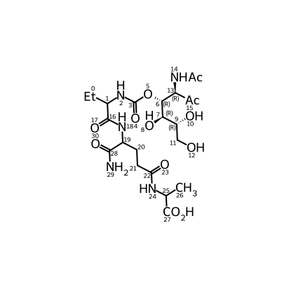 CCC(NC(=O)O[C@@H]([C@H](O)[C@H](O)CO)[C@@H](NC(C)=O)C(C)=O)C(=O)NC(CCC(=O)NC(C)C(=O)O)C(N)=O